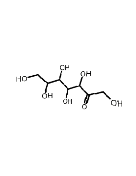 O=C(CO)C(O)C(O)C(O)C(O)CO